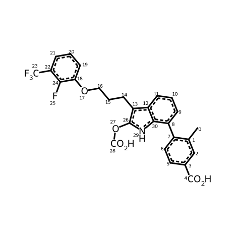 Cc1cc(C(=O)O)ccc1-c1cccc2c(CCCOc3cccc(C(F)(F)F)c3F)c(OC(=O)O)[nH]c12